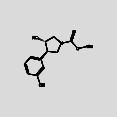 CC(C)(C)OC(=O)N1C[C@@H](C#N)[C@H](c2cccc(O)c2)C1